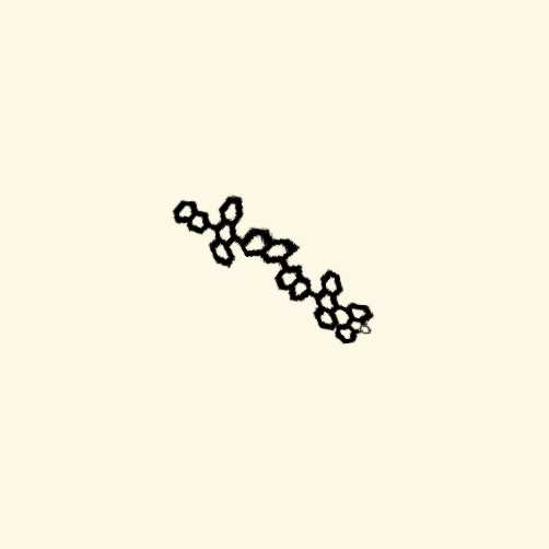 c1ccc2cc(-c3c4ccccc4c(-c4ccc5ccc(-c6ccc7ccc(-c8c9ccccc9c(-c9cccc%10oc%11ccccc%11c9%10)c9ccccc89)cc7c6)cc5c4)c4ccccc34)ccc2c1